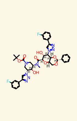 CN(C(=O)[C@@H]1O[C@@H]2CO[C@@H](c3ccccc3)O[C@@H]2[C@H](n2cc(-c3cccc(F)c3)nn2)[C@H]1O)[C@@H]1CN(C(=O)OC(C)(C)C)C[C@@H](n2cc(-c3cccc(F)c3)nn2)[C@@H]1O